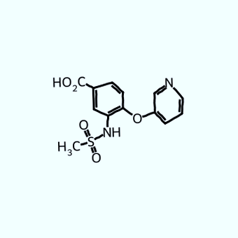 CS(=O)(=O)Nc1cc(C(=O)O)ccc1Oc1cccnc1